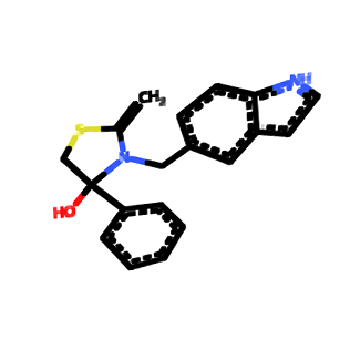 C=C1SCC(O)(c2ccccc2)N1Cc1ccc2[nH]ccc2c1